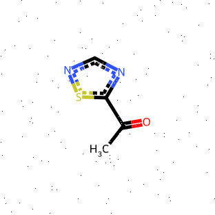 CC(=O)c1ncns1